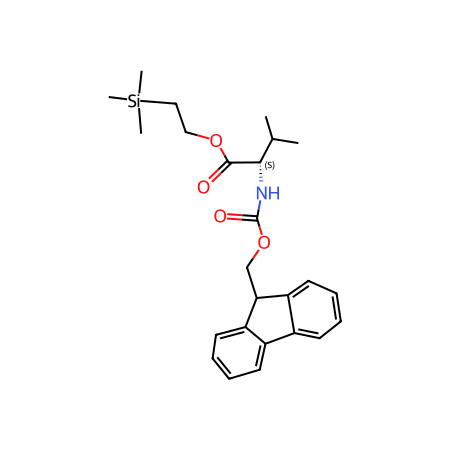 CC(C)[C@H](NC(=O)OCC1c2ccccc2-c2ccccc21)C(=O)OCC[Si](C)(C)C